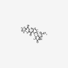 Cc1c(C)c(=O)[nH][n+](OC(=O)C(F)(F)F)c1Cc1ccc(F)c(C(=O)N2CC(=O)N3CCOCC3C2)c1